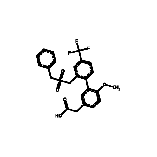 COc1ccc(CC(=O)O)cc1-c1ccc(C(F)(F)F)cc1CS(=O)(=O)Cc1ccccc1